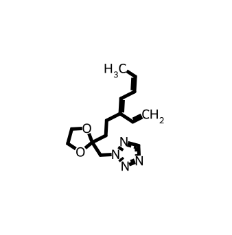 C=C/C(=C\C=C/C)CCC1(Cn2ncnn2)OCCO1